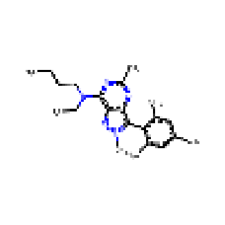 CCCCN(CC)c1nc(C)nc2c(-c3c(C)cc(C)cc3C)n(C)nc12